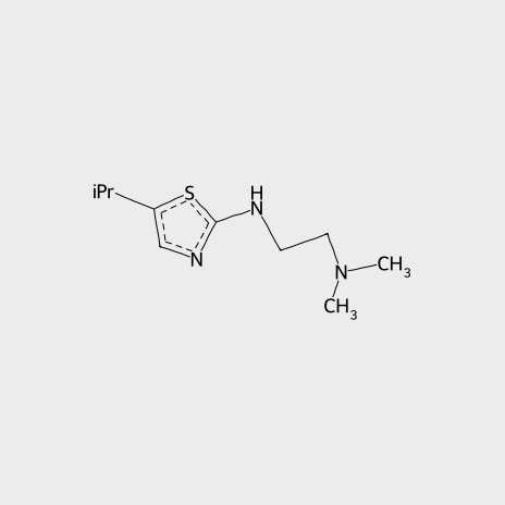 CC(C)c1cnc(NCCN(C)C)s1